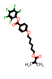 C=C(C)C(=O)OCCCCCCOc1ccc(C(=O)Oc2c(F)c(F)c(F)c(F)c2F)cc1